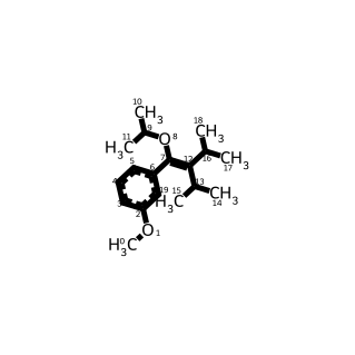 COc1cccc(C(OC(C)C)=C(C(C)C)C(C)C)c1